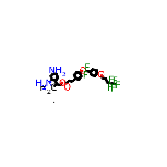 [CH2]C(COC(=O)/C=C/c1ccc(OC(F)(F)c2ccc(OCCCC(F)(F)C(F)(F)F)cc2)cc1)c1ccc(N)cc1N